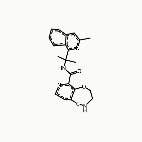 Cc1cc2ccccc2c(C(C)(C)NC(=O)c2nccc3c2OCCNC3)n1